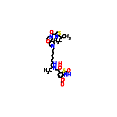 CC(CCCCCCCCN1CCC2(CC1)CN(C(=O)c1csc(C(C)C)n1)CCO2)NCC(O)c1ccc(OC=O)c2[nH]c(=O)sc12